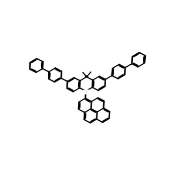 CC1(C)c2cc(-c3ccc(-c4ccccc4)cc3)ccc2N(c2ccc3ccc4cccc5ccc2c3c45)c2ccc(-c3ccc(-c4ccccc4)cc3)cc21